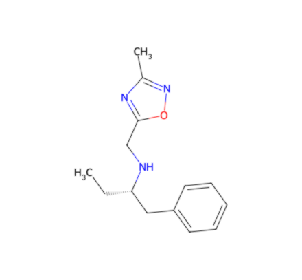 CC[C@@H](Cc1ccccc1)NCc1nc(C)no1